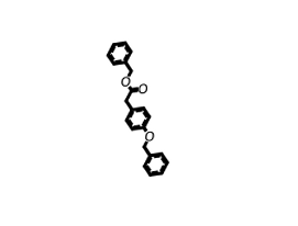 O=C(Cc1ccc(OCc2ccccc2)cc1)OCc1ccccc1